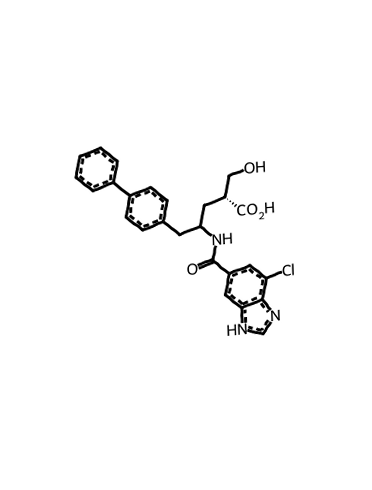 O=C(NC(Cc1ccc(-c2ccccc2)cc1)C[C@H](CO)C(=O)O)c1cc(Cl)c2nc[nH]c2c1